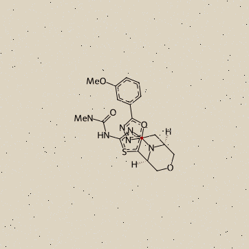 CNC(=O)Nc1nc2c(s1)[C@@H]1COC[C@H](C2)N1c1nnc(-c2cccc(OC)c2)o1